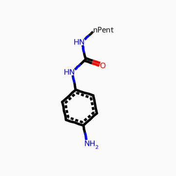 CCCCCNC(=O)Nc1ccc(N)cc1